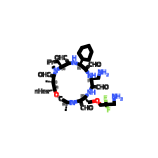 CCCCCC[C@H]1OC[C@@H](C)NC(C=O)[C@@H](COCC(F)(F)CN)NC(C=O)[C@H](CN)NC(C=O)[C@H](C2CCCCC2)NC(C=O)[C@H](CC(C)C)N(C)C(C=O)[C@H]1C